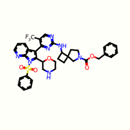 O=C(OCc1ccccc1)N1CCC2(CCC2Nc2ncc(C(F)(F)F)c(-c3c(C4CNCCO4)n(S(=O)(=O)c4ccccc4)c4ncccc34)n2)C1